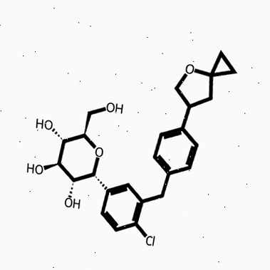 OC[C@H]1O[C@H](c2ccc(Cl)c(Cc3ccc(C4COC5(CC5)C4)cc3)c2)[C@H](O)[C@@H](O)[C@@H]1O